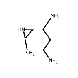 CC1CN1.NCCCN